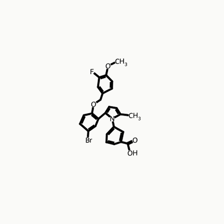 COc1ccc(COc2ccc(Br)cc2-c2ccc(C)n2-c2cccc(C(=O)O)c2)cc1F